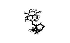 CC1(C)C2CCC1(CS(=O)(=O)C(S(C)(=O)=O)S(C)(=O)=O)C(=O)C2